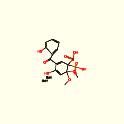 COC1(OC)C=C(O)C(C(=O)c2ccccc2O)=CC1(S(=O)(=O)O)S(=O)(=O)O.[NaH].[NaH]